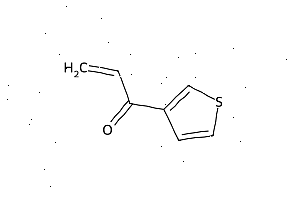 C=CC(=O)c1ccsc1